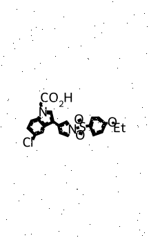 CCOc1ccc(S(=O)(=O)n2ccc(-c3cn(CC(=O)O)c4ccc(Cl)cc34)c2)cc1